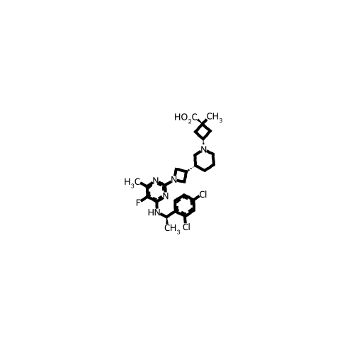 Cc1nc(N2CC([C@H]3CCCN([C@H]4C[C@](C)(C(=O)O)C4)C3)C2)nc(N[C@H](C)c2ccc(Cl)cc2Cl)c1F